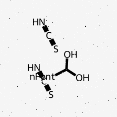 CCCCCC(O)O.N=C=S.N=C=S